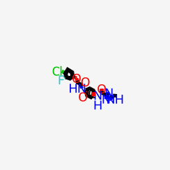 Cc1nc(C(=O)NC23CCC(NC(=O)COc4ccc(Cl)c(F)c4)(CC2)C(=O)C3)n[nH]1